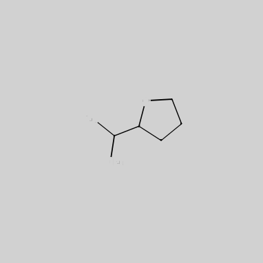 CC(C)(C)C(C1CCCO1)C(C)(C)C